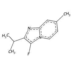 Cc1ccn2c(F)c(C(C)C)nc2c1